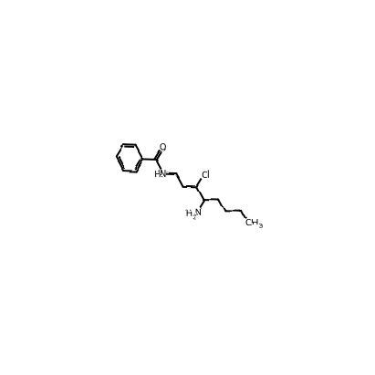 CCCCC(N)C(Cl)CCNC(=O)c1ccccc1